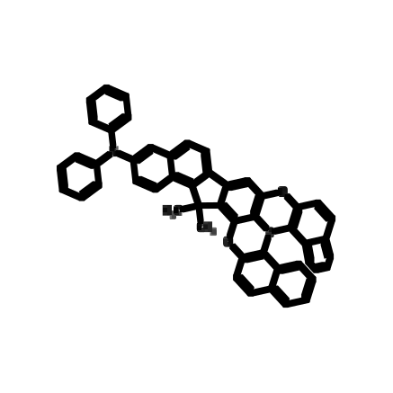 CC1(C)c2c(cc3c4c2Oc2ccc5ccccc5c2B4c2c(ccc4ccccc24)O3)-c2ccc3cc(N(c4ccccc4)c4ccccc4)ccc3c21